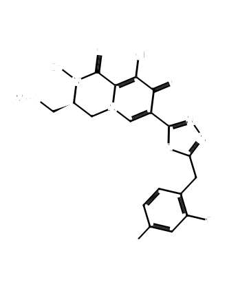 CCN1C(=O)c2c(O)c(=O)c(-c3nnc(Cc4ccc(F)cc4F)s3)cn2C[C@H]1COC